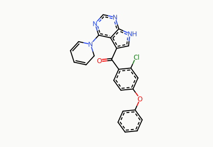 O=C(c1ccc(Oc2ccccc2)cc1Cl)c1c[nH]c2ncnc(N3C=CC=CC3)c12